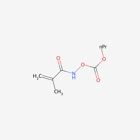 C=C(C)C(=O)NOC(=O)OCCC